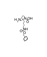 NCC1(CCCCNC(=O)OCc2ccccc2)CCCN1C(=O)O